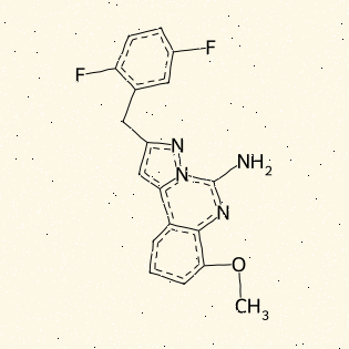 COc1cccc2c1nc(N)n1nc(Cc3cc(F)ccc3F)cc21